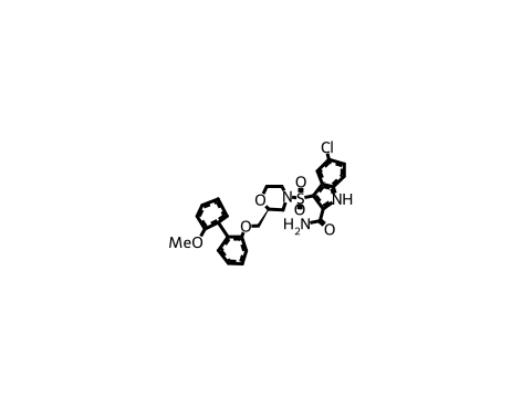 COc1ccccc1-c1ccccc1OC[C@@H]1CN(S(=O)(=O)c2c(C(N)=O)[nH]c3ccc(Cl)cc23)CCO1